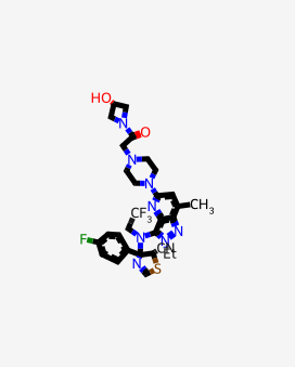 CCn1nc2c(C)cc(N3CCN(CC(=O)N4CC(O)C4)CC3)nc2c1N(CC(F)(F)F)C1(c2ccc(F)cc2)N=CSC1C#N